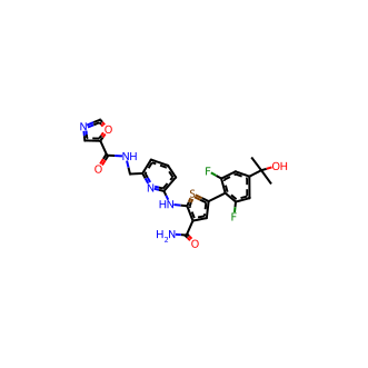 CC(C)(O)c1cc(F)c(-c2cc(C(N)=O)c(Nc3cccc(CNC(=O)c4cnco4)n3)s2)c(F)c1